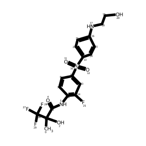 CC(O)(C(=O)Nc1ccc(S(=O)(=O)c2ccc(NCCO)cc2)cc1F)C(F)(F)F